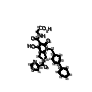 O=C(O)CNC(=O)c1c(O)c2c(n(Cc3ccc(-c4ccccc4)cc3)c1=O)CN(C(=O)c1cscn1)C2